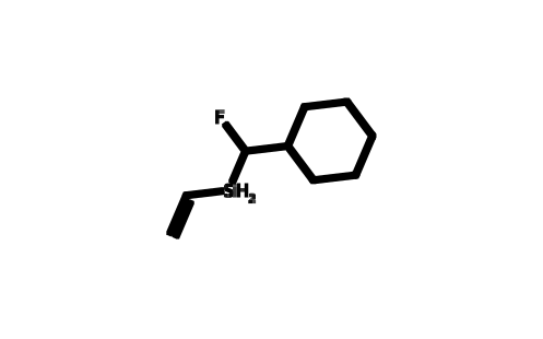 C=C[SiH2]C(F)C1CCCCC1